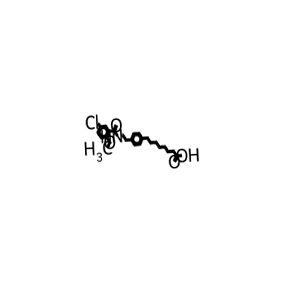 COc1ccc(Cl)cc1C(=O)NCCc1ccc(CCCCCCCC(=O)O)cc1